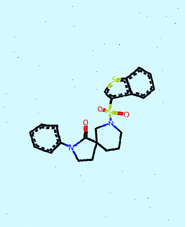 O=C1N(c2ccccc2)CCC12CCCN(S(=O)(=O)c1csc3ccccc13)C2